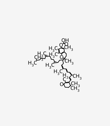 CC(C=CC1=C(C)C(=O)CCC1(C)C)=CC=CC(C)=CCC(CC[C@H](C)CCC[C@H](C)CCCC(C)C)[C@]1(C)CCc2c(C)c(OC(=O)O)c(C)c(C)c2O1